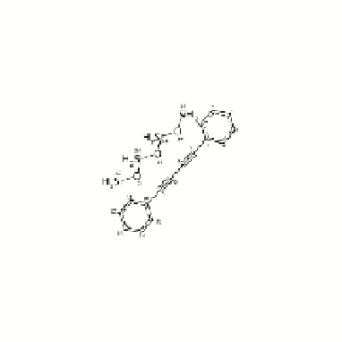 C(C#Cc1ccccc1)#Cc1ccccc1.[SiH3]O[SiH2]O[SiH2]O[SiH3]